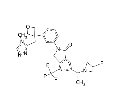 C[C@H](c1cc2c(c(C(F)(F)F)c1)CN(c1cccc(C3(Cc4nncn4C)COC3)c1)C2=O)N1CC(F)C1